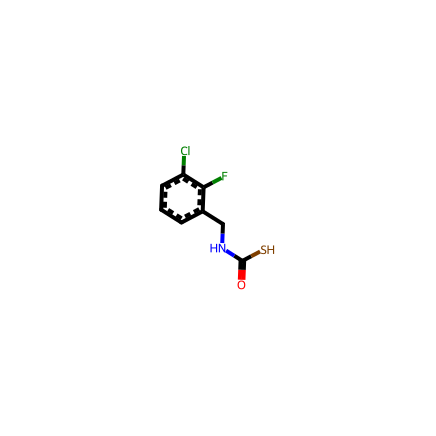 O=C(S)NCc1cccc(Cl)c1F